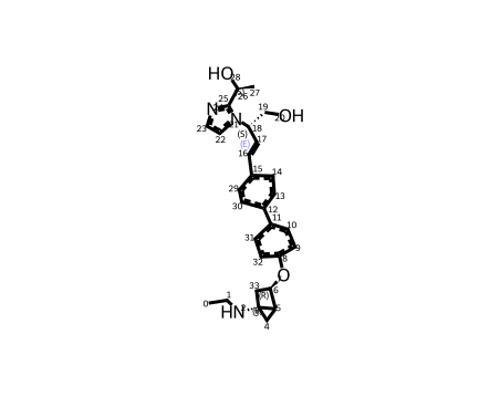 CCN[C@@]12CC1[C@H](Oc1ccc(-c3ccc(/C=C/[C@@H](CO)n4ccnc4[C@H](C)O)cc3)cc1)C2